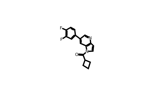 O=C(C1CCC1)n1ccc2ncc(-c3ccc(F)c(F)c3)cc21